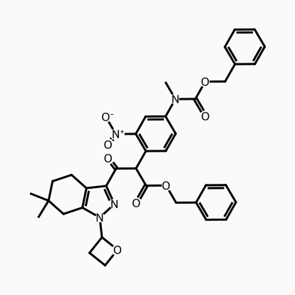 CN(C(=O)OCc1ccccc1)c1ccc(C(C(=O)OCc2ccccc2)C(=O)c2nn(C3CCO3)c3c2CCC(C)(C)C3)c([N+](=O)[O-])c1